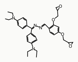 CCN(CC)c1ccc(C(=N/N=C/c2ccc(OCC3CO3)cc2OCC2CO2)c2ccc(N(CC)CC)cc2)cc1